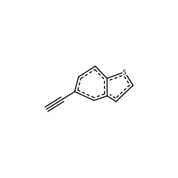 C#Cc1ccc2sccc2c1